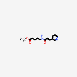 COC(=O)CCCCNC(=O)C=Cc1cccnc1